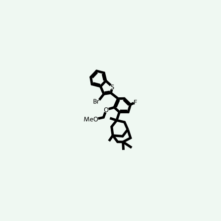 COCOc1c(-c2sc3ccccc3c2Br)cc(F)cc1C1(C)CC2CC(C)(C)CC(C)(C2)C1